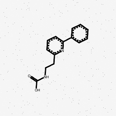 O=C(O)NCCc1cccc(-c2ccccc2)n1